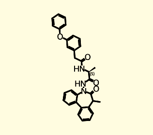 CC1C(=O)N(NC(=O)[C@H](C)NC(=O)Cc2cccc(Oc3ccccc3)c2)c2ccccc2-c2ccccc21